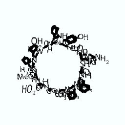 CCCC[C@H]1C(=O)N(C)CC(=O)N[C@@H](CC(=O)O)C(=O)N[C@@H](COC)C(=O)N(C)[C@@H](Cc2ccccc2)C(=O)N[C@@H](Cc2ccc(O)cc2)C(=O)N(C)CC(=O)N[C@@H](Cc2c[nH]c3ccccc23)C(=O)N[C@@H](Cc2ccc(O)cc2)C(=O)NCC(=O)N[C@H](C(=O)NCC(N)=O)C(CC(C)C)SCC(=O)N[C@@H](Cc2ccccc2)C(=O)N(C)[C@@H](Cc2ccccc2)C(=O)N1C